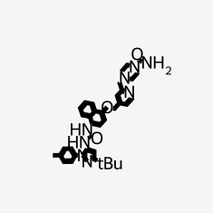 Cc1ccc(-n2nc(C(C)(C)C)cc2NC(=O)Nc2ccc(OCc3ccnc(CN4CCN(C(N)=O)CC4)c3)c3ccccc23)cc1